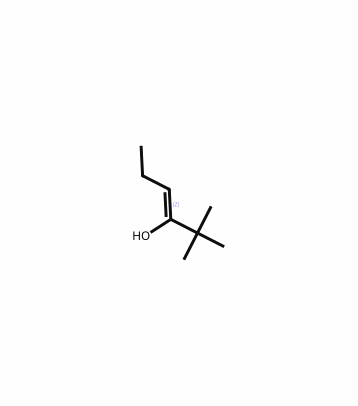 CC/C=C(\O)C(C)(C)C